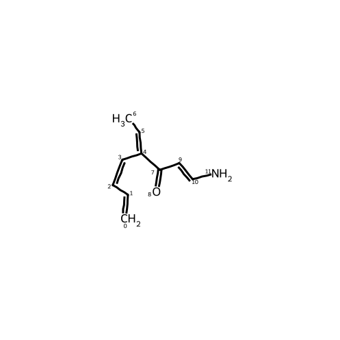 C=C/C=C\C(=C/C)C(=O)/C=C/N